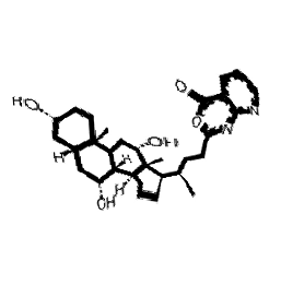 C[C@H](CCc1nc2ncccc2c(=O)o1)[C@H]1CC[C@H]2[C@H]3C(C[C@H](O)[C@]12C)[C@@]1(C)CC[C@@H](O)C[C@H]1C[C@H]3O